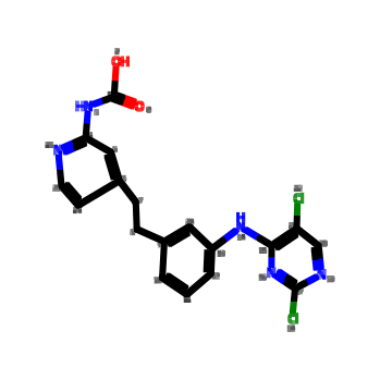 O=C(O)Nc1cc(CCc2cccc(Nc3nc(Cl)ncc3Cl)c2)ccn1